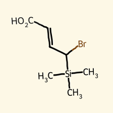 C[Si](C)(C)C(Br)C=CC(=O)O